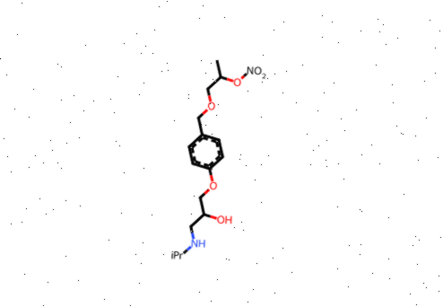 CC(C)NCC(O)COc1ccc(COCC(C)O[N+](=O)[O-])cc1